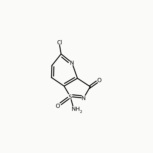 NS1(=O)=NC(=O)c2nc(Cl)ccc21